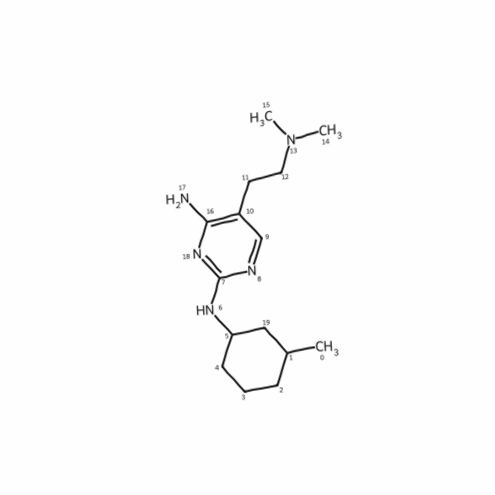 CC1CCCC(Nc2ncc(CCN(C)C)c(N)n2)C1